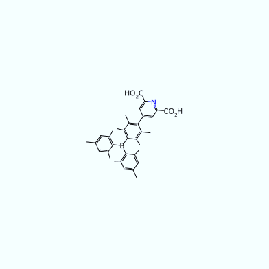 Cc1cc(C)c(B(c2c(C)cc(C)cc2C)c2c(C)c(C)c(-c3cc(C(=O)O)nc(C(=O)O)c3)c(C)c2C)c(C)c1